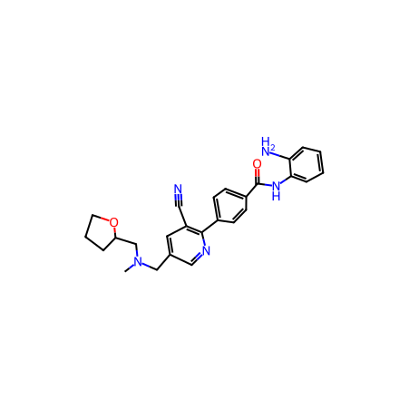 CN(Cc1cnc(-c2ccc(C(=O)Nc3ccccc3N)cc2)c(C#N)c1)CC1CCCO1